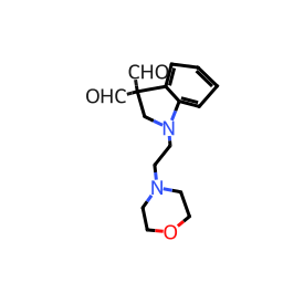 O=CC1(C=O)CN(CCN2CCOCC2)c2ccccc21